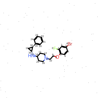 Fc1cc(Br)ccc1OCCN1CCC(N[C@@H]2C[C@H]2c2ccccc2)CC1